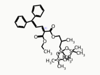 CCOC(=O)/C(=C\C=C(c1ccccc1)c1ccccc1)C(=O)OCC(C)C[Si](C)(O[Si](C)(C)C)O[Si](C)(C)C